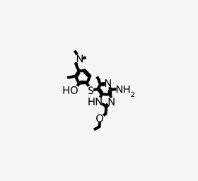 CCOCc1nc2c(N)nc(C)c(Sc3ccc(CN(C)C)c(C)c3O)c2[nH]1